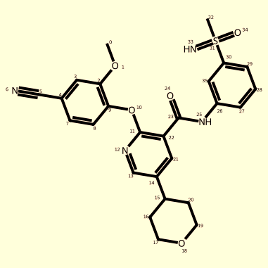 COc1cc(C#N)ccc1Oc1ncc(C2CCOCC2)cc1C(=O)Nc1cccc(S(C)(=N)=O)c1